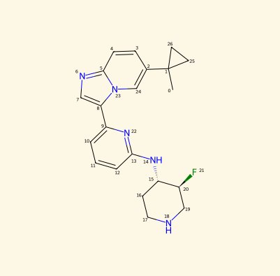 CC1(c2ccc3ncc(-c4cccc(N[C@H]5CCNC[C@@H]5F)n4)n3c2)CC1